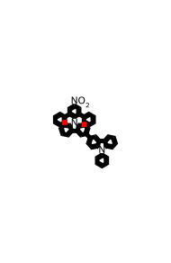 O=[N+]([O-])c1cc(-c2ccccc2)c(-n2c3ccccc3c3cc(-c4ccc5c(c4)c4ccccc4n5-c4ccccc4)ccc32)c(-c2ccccc2)c1